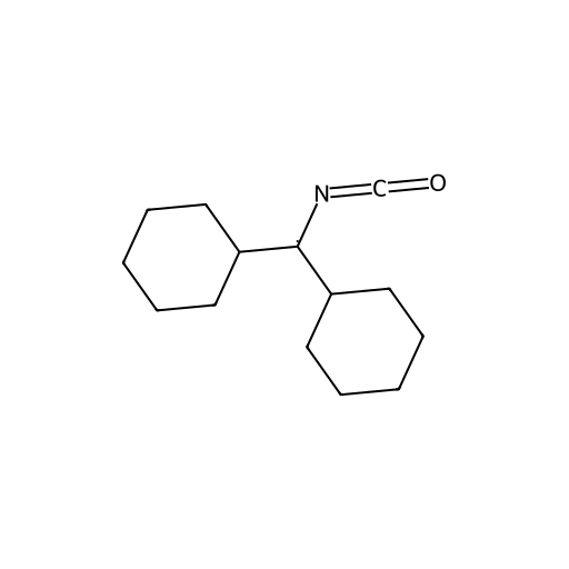 O=C=N[C](C1CCCCC1)C1CCCCC1